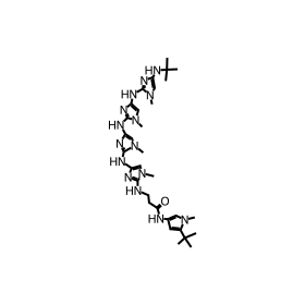 Cn1cc(NC(=O)CCNc2nc(Nc3nc(Nc4nc(Nc5nc(NC(C)(C)C)cn5C)cn4C)cn3C)cn2C)cc1C(C)(C)C